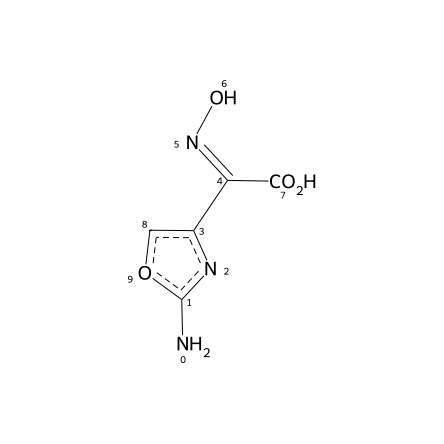 Nc1nc(C(=NO)C(=O)O)co1